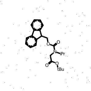 CC(C)N(CC(=O)OC(C)(C)C)C(=O)OCC1c2ccccc2-c2ccccc21